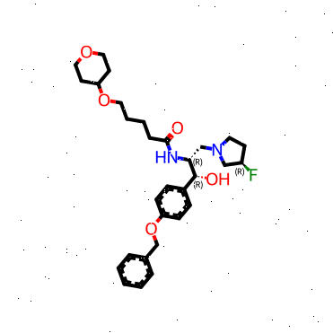 O=C(CCCCOC1CCOCC1)N[C@H](CN1CC[C@@H](F)C1)[C@H](O)c1ccc(OCc2ccccc2)cc1